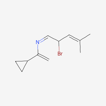 C=C(/N=C\C(Br)C=C(C)C)C1CC1